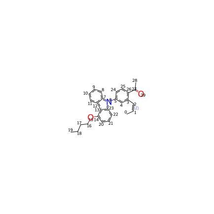 C/C=C\c1cc(-n2c3ccccc3c3c(OCCCC)cccc32)ccc1C(C)=O